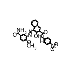 COc1ccc(C(N)=O)cc1/N=N/c1c(O)c(C(=O)Nc2ccc([N+](=O)[O-])cc2)cc2ccccc12